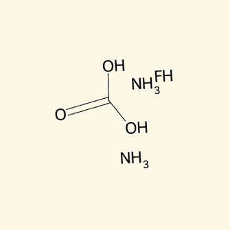 F.N.N.O=C(O)O